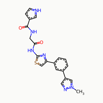 Cn1cc(-c2cccc(-c3csc(NC(=O)CNC(=O)c4cc[nH]c4)n3)c2)cn1